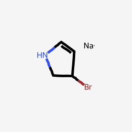 BrC1C=CNC1.[Na]